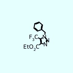 CCOC(=O)c1nnn(Cc2ccccc2)c1C(F)(F)F